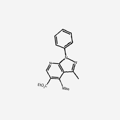 CCOC(=O)c1cnc2c(c(C)nn2-c2ccccc2)c1NC